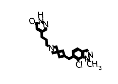 Cn1ncc2ccc(CC3CC4(C3)CN(CCCc3cn[nH]c(=O)c3)C4)c(Cl)c21